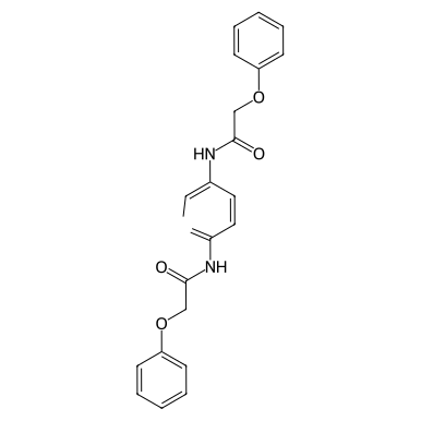 C=C(/C=C\C(=C/C)NC(=O)COc1ccccc1)NC(=O)COc1ccccc1